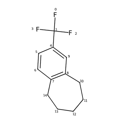 FC(F)(F)c1ccc2c(c1)CCCCC2